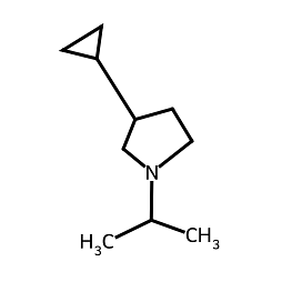 CC(C)N1CCC(C2CC2)C1